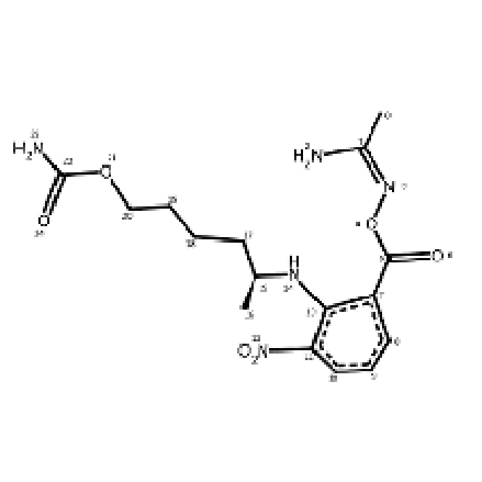 CC(N)=NOC(=O)c1cccc([N+](=O)[O-])c1N[C@@H](C)CCCCOC(N)=O